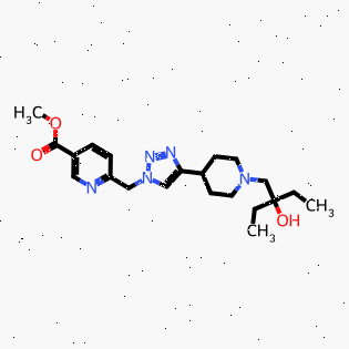 CCC(O)(CC)CN1CCC(c2cn(Cc3ccc(C(=O)OC)cn3)nn2)CC1